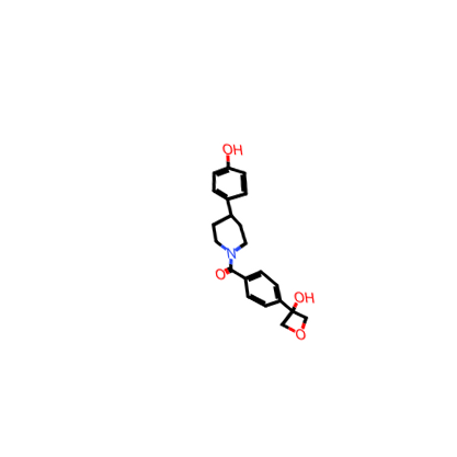 O=C(c1ccc(C2(O)COC2)cc1)N1CCC(c2ccc(O)cc2)CC1